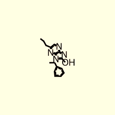 CCCc1cnc2nc(O)n(C(C)c3ccccc3)c2n1